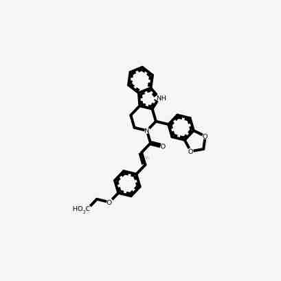 O=C(O)COc1ccc(/C=C/C(=O)N2CCc3c([nH]c4ccccc34)C2c2ccc3c(c2)OCO3)cc1